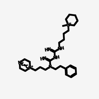 C[N+]1(CCCCNC(=N)NC(=N)N(CCC[N+]23CCN(CC2)CC3)CCc2ccccc2)CCCCC1